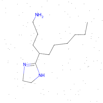 CCCCCCC(CCCN)C1=NCCN1